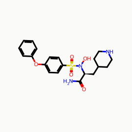 NC(=O)[C@H](CC1CCNCC1)N(O)S(=O)(=O)c1ccc(Oc2ccccc2)cc1